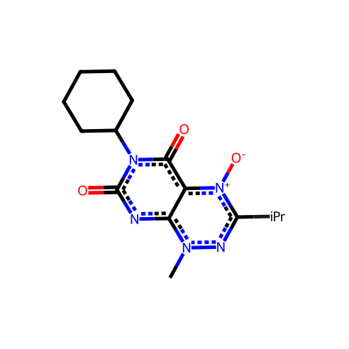 CC(C)c1nn(C)c2nc(=O)n(C3CCCCC3)c(=O)c-2[n+]1[O-]